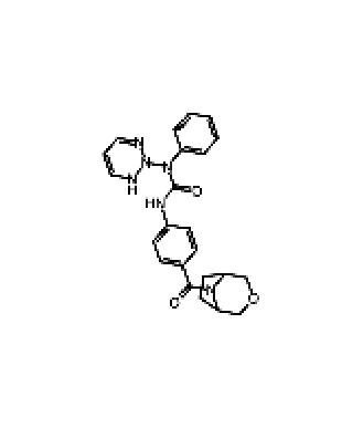 O=C(c1ccc(NC(=O)N(c2ccccc2)N2N=CC=CN2)cc1)N1C2CCC1COC2